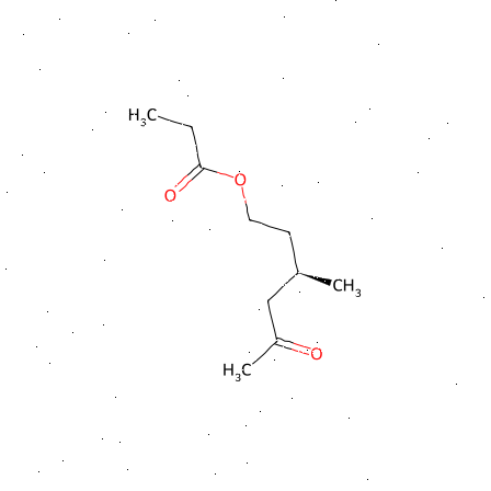 CCC(=O)OCC[C@@H](C)CC(C)=O